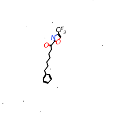 O=C(CCCCCCc1ccccc1)c1nc(C(F)(F)F)co1